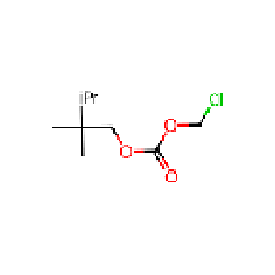 CC(C)C(C)(C)COC(=O)OCCl